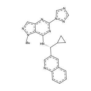 CCC(C)n1ncc2nc(-n3cncn3)nc(N[C@@H](c3cnc4ccccc4c3)C3CC3)c21